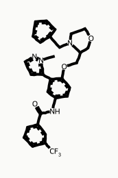 Cn1nccc1-c1cc(NC(=O)c2cccc(C(F)(F)F)c2)ccc1OCC1COCCN1Cc1ccccc1